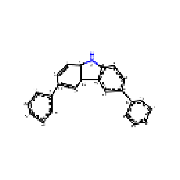 C1=CC2Nc3ccc(-c4ccccc4)cc3C2C=C1c1ccccc1